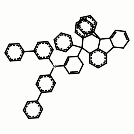 C1=CCC2C(=C1)C1(c3ccccc3)c3ccccc3C(c3ccccc3)(C3C=C(N(c4ccc(-c5ccccc5)cc4)c4cccc(-c5ccccc5)c4)C=CC3)c3cccc2c31